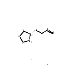 C=CCC[C@H]1CCCS1